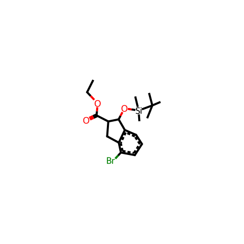 CCOC(=O)C1Cc2c(Br)cccc2C1O[Si](C)(C)C(C)(C)C